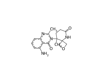 Cc1nc2cccc(N)c2c(=O)n1C1(C)CCC(=O)NC12COC2